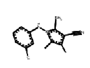 Cc1c(C#N)c(N)n(Nc2cccc(Cl)c2)c1C